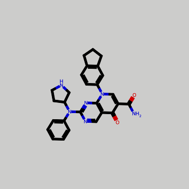 NC(=O)c1cn(-c2ccc3c(c2)CCC3)c2nc(N(c3ccccc3)C3CCNC3)ncc2c1=O